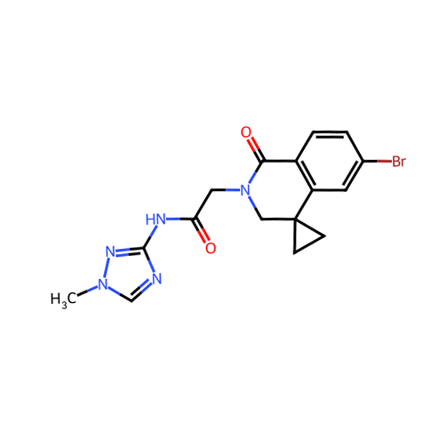 Cn1cnc(NC(=O)CN2CC3(CC3)c3cc(Br)ccc3C2=O)n1